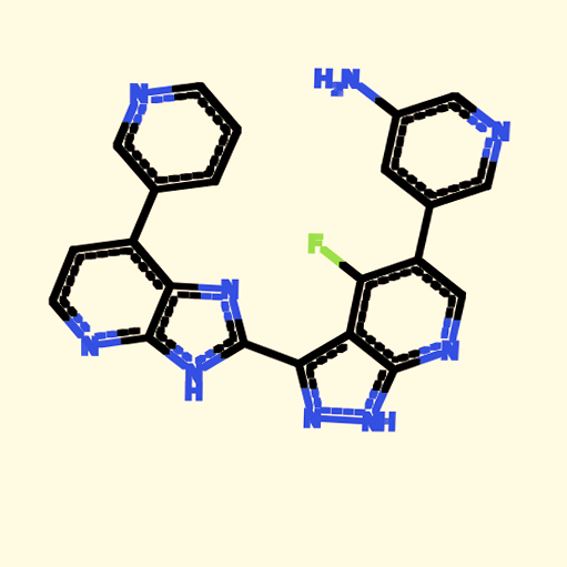 Nc1cncc(-c2cnc3[nH]nc(-c4nc5c(-c6cccnc6)ccnc5[nH]4)c3c2F)c1